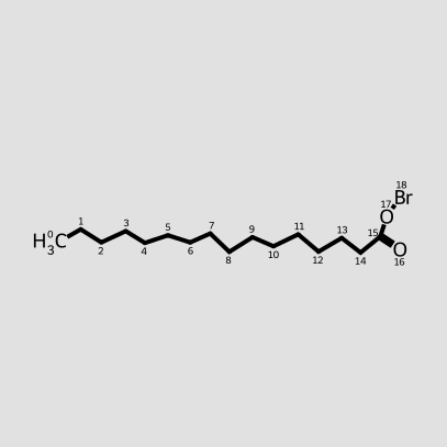 CCCCCCCCCCCCCCCC(=O)OBr